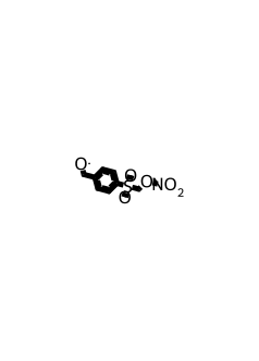 [O]Cc1ccc(S(=O)(=O)CO[N+](=O)[O-])cc1